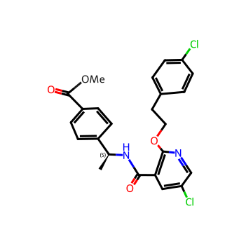 COC(=O)c1ccc([C@H](C)NC(=O)c2cc(Cl)cnc2OCCc2ccc(Cl)cc2)cc1